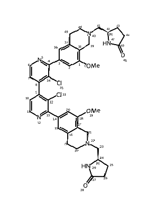 COc1cc(-c2nccc(-c3ccnc(-c4cc5c(c(OC)c4)CN(C[C@H]4CCC(=O)N4)CC5)c3Cl)c2Cl)cc2c1CN(C[C@H]1CCC(=O)N1)CC2